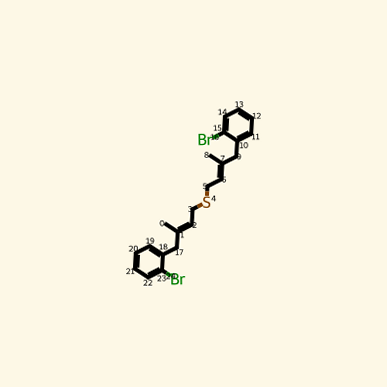 C/C(=C\CSC/C=C(\C)Cc1ccccc1Br)Cc1ccccc1Br